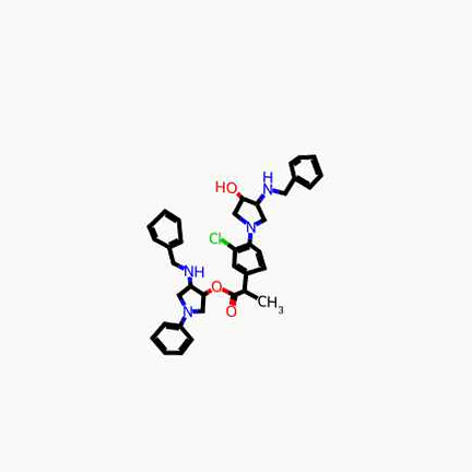 CC(C(=O)OC1CN(c2ccccc2)CC1NCc1ccccc1)c1ccc(N2CC(O)C(NCc3ccccc3)C2)c(Cl)c1